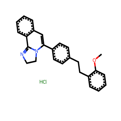 COc1ccccc1CCc1ccc(C2=Cc3ccccc3C3=NCCN23)cc1.Cl